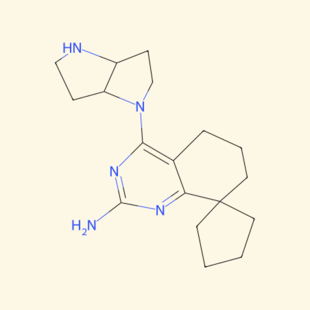 Nc1nc(N2CCC3NCCC32)c2c(n1)C1(CCCC1)CCC2